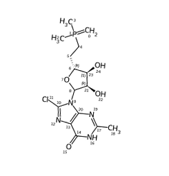 C=P(C)(C)CC[C@H]1OC(n2c(Cl)nc3c(=O)[nH]c(C)nc32)[C@H](O)[C@@H]1O